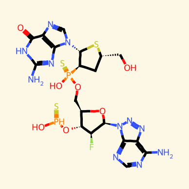 Nc1nc2c(ncn2[C@@H]2S[C@H](CO)C[C@H]2P(O)(=S)OC[C@H]2O[C@@H](n3nnc4c(N)ncnc43)[C@@H](F)[C@@H]2O[PH](O)=S)c(=O)[nH]1